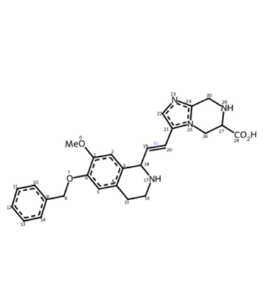 COc1cc2c(cc1OCc1ccccc1)CCNC2/C=C/c1cnc2n1CC(C(=O)O)NC2